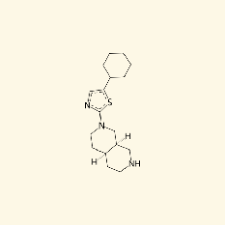 c1nc(N2CC[C@@H]3CCNC[C@@H]3C2)sc1C1CCCCC1